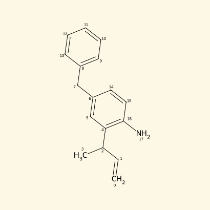 C=CC(C)c1cc(Cc2ccccc2)ccc1N